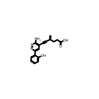 C=C(C#Cc1cc(-c2ccccc2O)nnc1N)CCC(=O)O